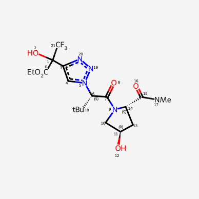 CCOC(=O)C(O)(c1cn([C@H](C(=O)N2C[C@H](O)C[C@H]2C(=O)NC)C(C)(C)C)nn1)C(F)(F)F